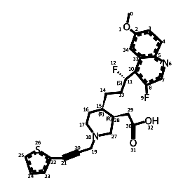 COc1ccc2ncc(F)c([C@@H](F)CC[C@@H]3CCN(CC#Cc4cccs4)C[C@@H]3CC(=O)O)c2c1